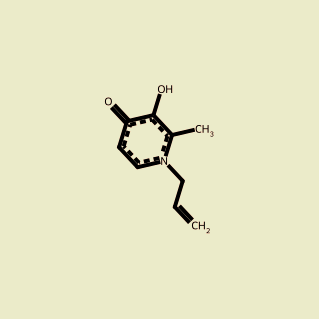 C=CCn1ccc(=O)c(O)c1C